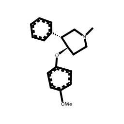 COc1ccc(O[C@@H]2CCN(C)C[C@H]2c2ccccc2)cc1